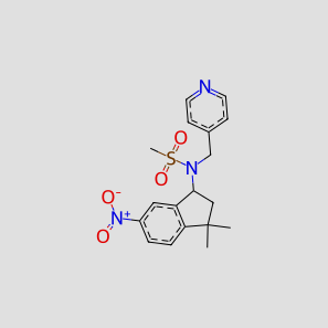 CC1(C)CC(N(Cc2ccncc2)S(C)(=O)=O)c2cc([N+](=O)[O-])ccc21